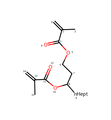 C=C(C)C(=O)OCCC(CCCCCCC)OC(=O)C(=C)C